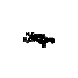 CCc1nc2c(C)cc(C)nc2n1Cc1ccc2c(c1)CCc1cc(CN3CC=CCC3)ccc1N2